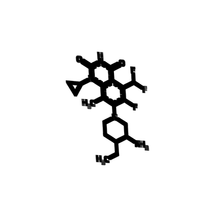 CCC1CCN(c2c(F)c(C(F)F)c3c(=O)[nH]c(=O)n(C4CC4)c3c2C)CC1N